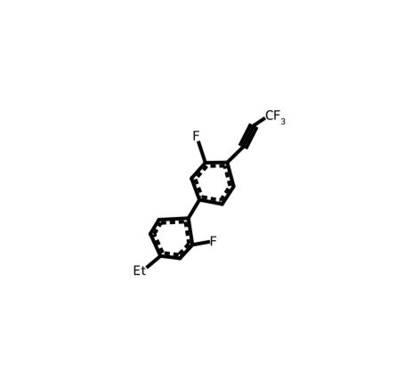 CCc1ccc(-c2ccc(C#CC(F)(F)F)c(F)c2)c(F)c1